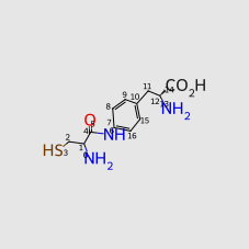 NC(CS)C(=O)Nc1ccc(C[C@H](N)C(=O)O)cc1